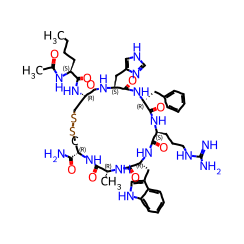 CCCC[C@H](NC(C)=O)C(=O)N[C@H]1CSSC[C@@H](C(N)=O)NC(=O)[C@@H](C)NC(=O)[C@@H](Cc2c[nH]c3ccccc23)NC(=O)[C@H](CCCNC(=N)N)NC(=O)[C@@H](Cc2ccccc2)NC(=O)[C@H](Cc2c[nH]cn2)NC1=O